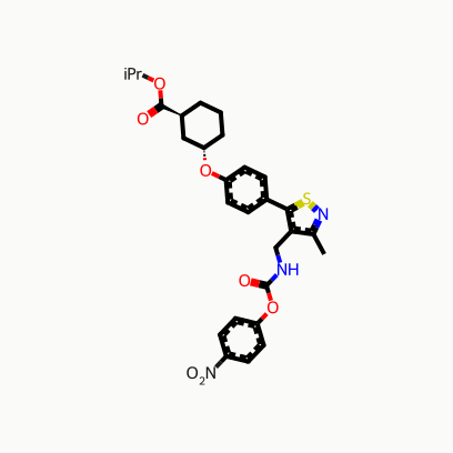 Cc1nsc(-c2ccc(O[C@H]3CCC[C@H](C(=O)OC(C)C)C3)cc2)c1CNC(=O)Oc1ccc([N+](=O)[O-])cc1